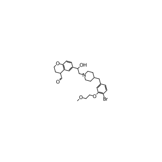 COCCOc1cc(CC2CCN(CC(O)c3ccc4c(c3)C(C=O)CCO4)CC2)ccc1Br